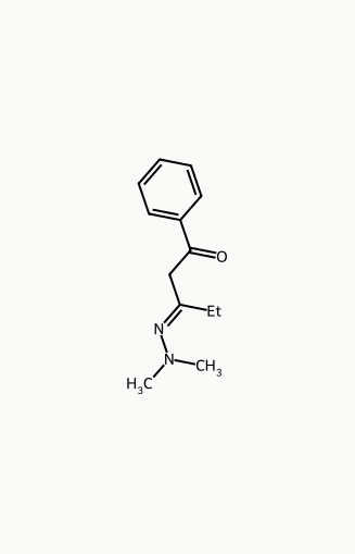 CC/C(CC(=O)c1ccccc1)=N\N(C)C